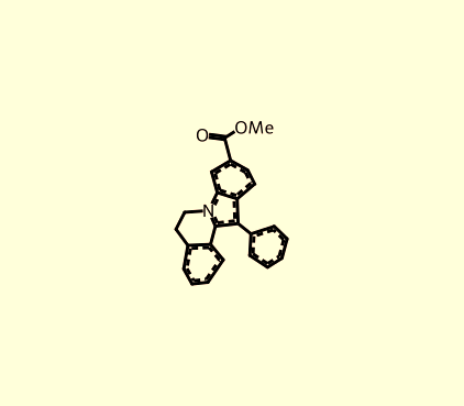 COC(=O)c1ccc2c(-c3ccccc3)c3n(c2c1)CCc1ccccc1-3